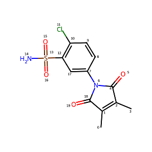 CC1=C(C)C(=O)N(c2ccc(Cl)c(S(N)(=O)=O)c2)C1=O